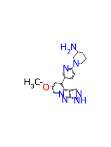 CCOc1cc(-c2ccc(N3CCCC(N)C3)nc2)c2c3cn[nH]c3nn2c1